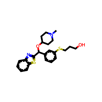 CN1CCC(OC(c2cccc(SCCCO)c2)c2nc3ccccc3s2)CC1